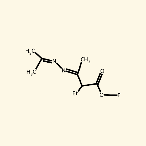 CCC(C(=O)OF)C(C)=NN=C(C)C